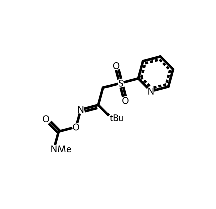 CNC(=O)O/N=C(/CS(=O)(=O)c1ccccn1)C(C)(C)C